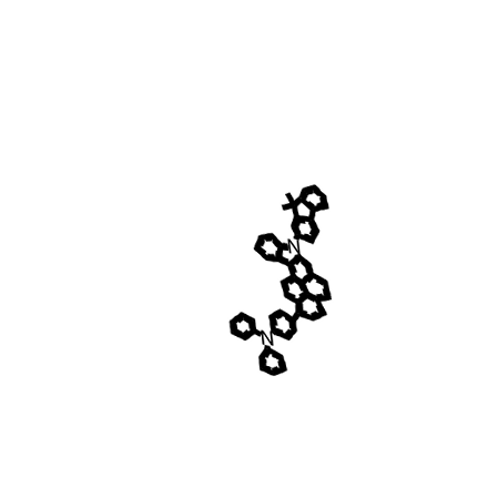 CC1(C)c2ccccc2-c2ccc(-n3c4ccccc4c4c5ccc6c(-c7ccc(N(c8ccccc8)c8ccccc8)cc7)ccc7ccc(cc43)c5c76)cc21